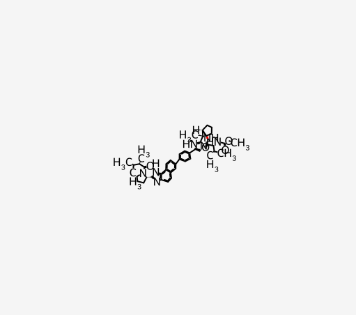 COC(=O)N[C@H](C(=O)N1[C@@H]2CC[C@@H](C2)[C@@]1(C)c1ncc(-c2ccc(-c3ccc4c(ccc5nc([C@@H]6CCCN6C(=O)[C@@H](C)C(C)C)[nH]c54)c3)cc2)[nH]1)C(C)C